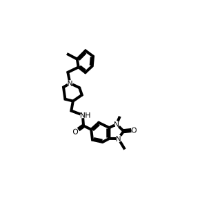 Cc1ccccc1CN1CCC(CNC(=O)c2ccc3c(c2)n(C)c(=O)n3C)CC1